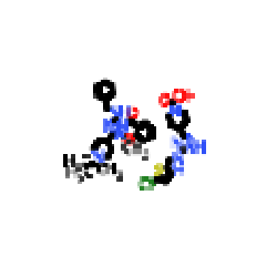 COc1ccccc1C(=O)n1nc(C2CCN(C(C)(C)C)CC2)nc1NCc1ccccc1.O=C(O)N1CCC(c2n[nH]c(NCc3ccc(Cl)s3)n2)CC1